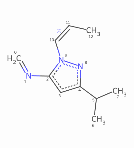 C=Nc1cc(C(C)C)nn1/C=C\C